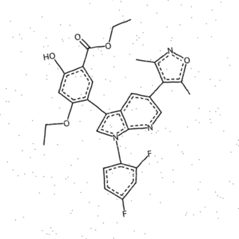 CCOC(=O)c1cc(-c2cn(-c3ccc(F)cc3F)c3ncc(-c4c(C)noc4C)cc23)c(OCC)cc1O